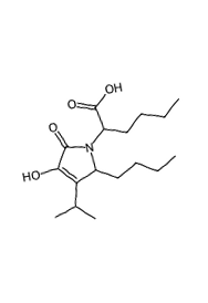 CCCCC(C(=O)O)N1C(=O)C(O)=C(C(C)C)C1CCCC